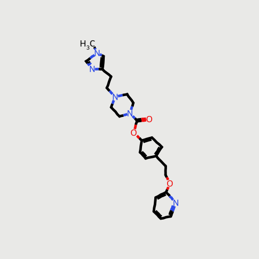 Cn1cnc(CCN2CCN(C(=O)Oc3ccc(CCOc4ccccn4)cc3)CC2)c1